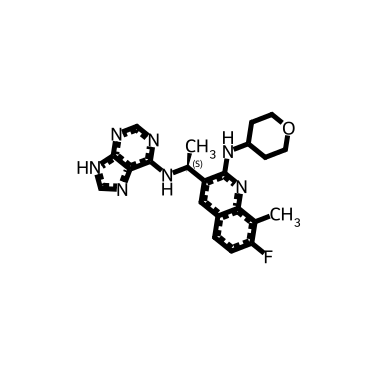 Cc1c(F)ccc2cc([C@H](C)Nc3ncnc4[nH]cnc34)c(NC3CCOCC3)nc12